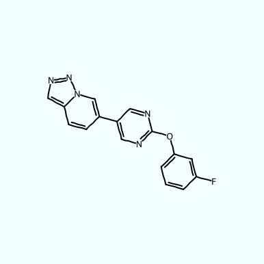 Fc1cccc(Oc2ncc(-c3ccc4cnnn4c3)cn2)c1